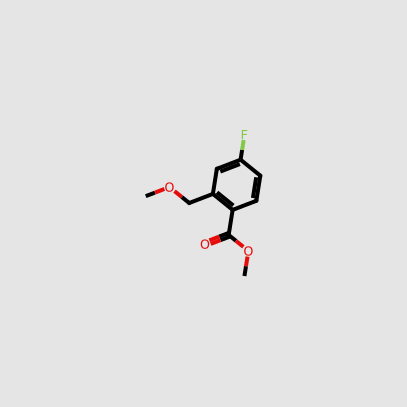 COCc1cc(F)ccc1C(=O)OC